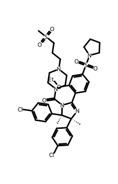 CCOc1cc(S(=O)(=O)N2CCCC2)ccc1C1=N[C@@](C)(c2ccc(Cl)cc2)[C@@](C)(c2ccc(Cl)cc2)N1C(=O)N1CCN(CCCS(C)(=O)=O)CC1